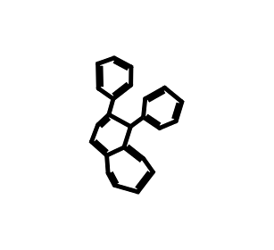 C1=CC=C2C(=CC=C(c3ccccc3)C2c2ccccc2)C=C1